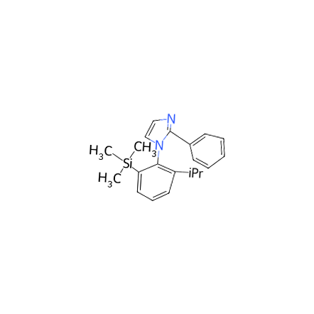 CC(C)c1cccc([Si](C)(C)C)c1-n1ccnc1-c1ccccc1